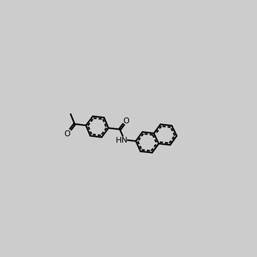 CC(=O)c1ccc(C(=O)Nc2ccc3ccccc3c2)cc1